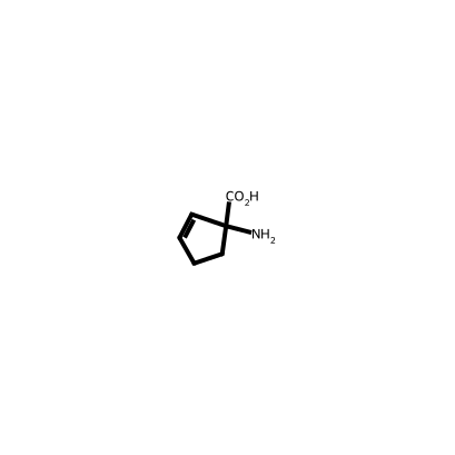 NC1(C(=O)O)C=CCC1